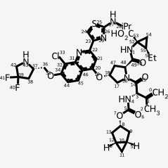 C=C(C)[C@H](NC(=O)O[C@@H]1C[C@@H]2C[C@@H]2C1)C(=O)N1C[C@H](Oc2cc(-c3csc(NC(C)C)n3)nc3c(Cl)c(OC[C@@H]4CC(F)(F)CN4)ccc23)C[C@H]1C(=O)N[C@]1(C(=O)O)C[C@H]1CC